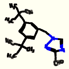 CC(C)(C#N)c1cc(Cn2cnc(C=O)n2)cc(C(C)(C)C#N)c1